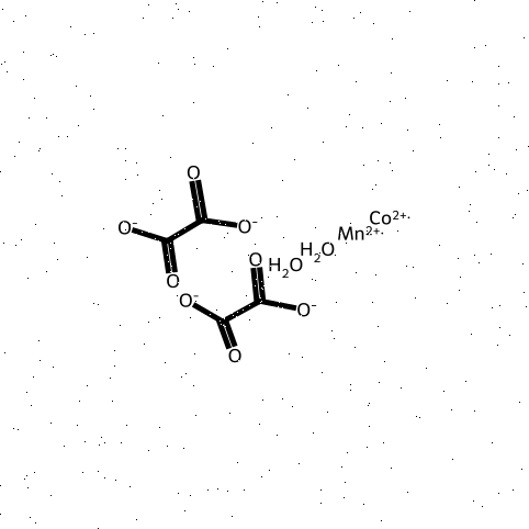 O.O.O=C([O-])C(=O)[O-].O=C([O-])C(=O)[O-].[Co+2].[Mn+2]